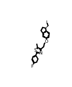 Cc1sc(C2=CC=C(F)CC2)nc1CCOc1ccc2c(c1)CC[C@H]2CI